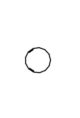 [CH]1CCC=CCCC=CCCCC1